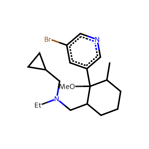 CCN(CC1CC1)CC1CCCC(C)C1(OC)c1cncc(Br)c1